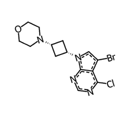 Clc1ncnc2c1c(Br)cn2[C@H]1C[C@@H](N2CCOCC2)C1